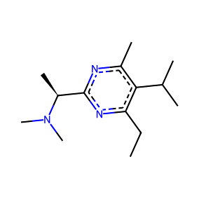 CCc1nc([C@H](C)N(C)C)nc(C)c1C(C)C